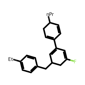 CCCC1C=CC(C2=CC(Cc3ccc(CC)cc3)CC(F)=C2)=CC1